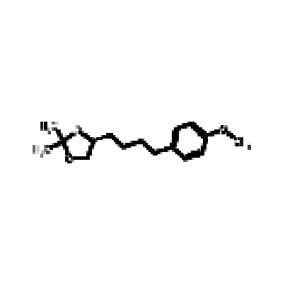 COc1ccc(CCCC[C@H]2COC(C)(C)O2)cc1